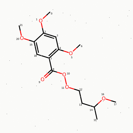 COc1cc(OC)c(C(=O)OO[CH]CC(C)OC)cc1OC